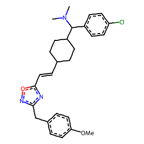 COc1ccc(Cc2noc(C=CC3CCC(C(c4ccc(Cl)cc4)N(C)C)CC3)n2)cc1